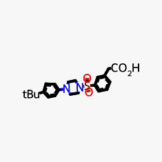 CC(C)(C)c1ccc(N2CCN(S(=O)(=O)c3cccc(CC(=O)O)c3)CC2)cc1